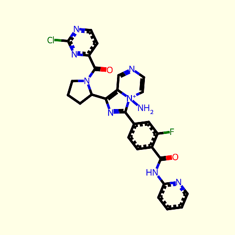 N[N+]12C=CN=CC1=C(C1CCCN1C(=O)c1ccnc(Cl)n1)N=C2c1ccc(C(=O)Nc2ccccn2)c(F)c1